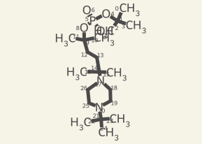 CC(C)(C)OP(=O)(O)OC(C)(C)CCC(C)(C)N1CCN(C(C)(C)C)CC1